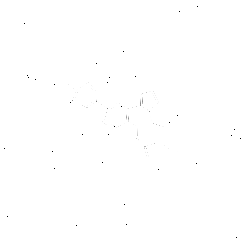 CCOC(=O)Cn1ccnc1-c1cc(-c2ccc(F)cc2)ncc1CNC(=O)OC(C)(C)C